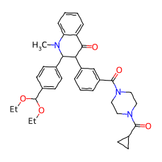 CCOC(OCC)c1ccc(C2C(c3cccc(C(=O)N4CCN(C(=O)C5CC5)CC4)c3)C(=O)c3ccccc3N2C)cc1